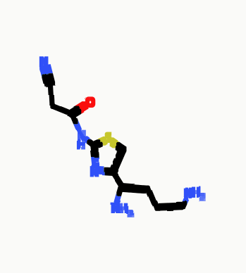 N#CCC(=O)Nc1nc(/C(N)=C/C=C\N)cs1